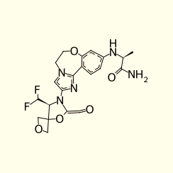 C[C@H](Nc1ccc2c(c1)OCCn1cc(N3C(=C=O)OC4(COC4)[C@H]3C(F)F)nc1-2)C(N)=O